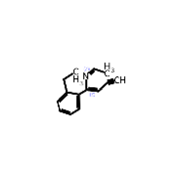 C#C/C=C(\N=C/C)c1ccccc1CC